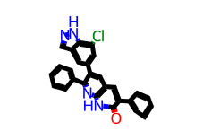 O=c1[nH]c2nc(-c3ccccc3)c(-c3cc(Cl)c4[nH]ncc4c3)cc2cc1-c1ccccc1